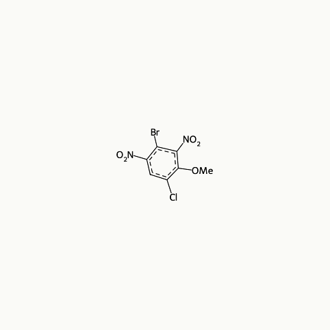 COc1c(Cl)cc([N+](=O)[O-])c(Br)c1[N+](=O)[O-]